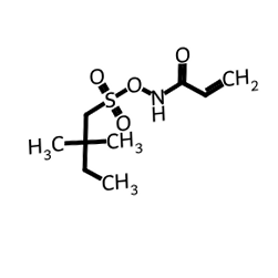 C=CC(=O)NOS(=O)(=O)CC(C)(C)CC